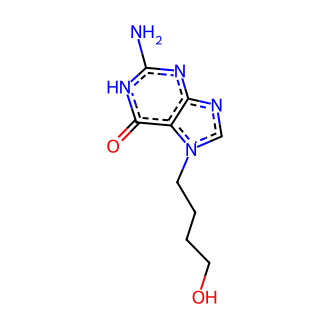 Nc1nc2ncn(CCCCO)c2c(=O)[nH]1